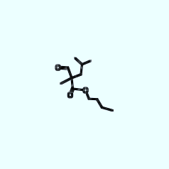 CCCCOC(=O)C(C)(C=O)CC(C)C